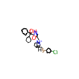 O[C@](c1ccccc1)(c1ncc(C[N+]23CCC(CC2)[C@@H](CSc2ccc(Cl)cc2)C3)o1)C1CCCCC1